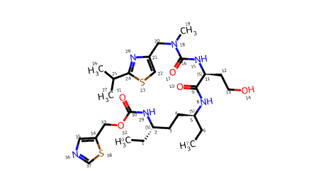 CC[C@@H](CC[C@H](CC)NC(=O)[C@H](CCO)NC(=O)N(C)Cc1csc(C(C)C)n1)NC(=O)OCc1cncs1